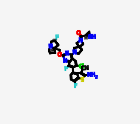 N#Cc1c(N)sc2c(F)ccc(-c3c(Cl)cc4c(N5CCC6(CN(C(=O)[C@H]7CN7)C6)C5)nc(OC[C@@]56CCCN5C[C@H](F)C6)nc4c3F)c12